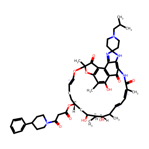 C/C1=C/C=C/C(C)[C@H](O)[C@@H](C)C(O)C[C@H](OC(=O)CC(=O)N2CCC(c3ccccc3)CC2)CC/C=C/OC2(C)Oc3c(C)c(O)c4c(c3C2=O)C2=NC3(CCN(CC(C)C)CC3)NC2=C(NC1=O)C4=O